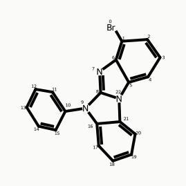 Brc1cccc2c1nc1n(-c3ccccc3)c3ccccc3n21